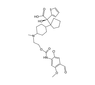 COc1cc(NC(=O)OCCN(C)C2CCC(C3([C@](O)(C(=O)O)c4cccs4)CCCC3)CC2)c(Cl)cc1C=O